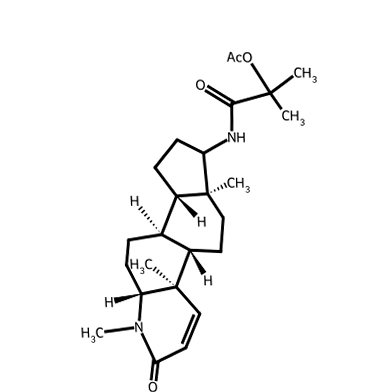 CC(=O)OC(C)(C)C(=O)NC1CC[C@H]2[C@@H]3CC[C@H]4N(C)C(=O)C=C[C@]4(C)[C@H]3CC[C@]12C